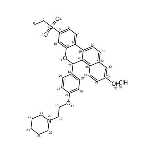 CCS(=O)(=O)c1ccc2c(c1)OC(c1ccc(OCCN3CCCCC3)cc1)c1c-2ccc2cc(O)ccc12.Cl